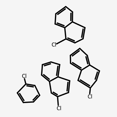 Clc1ccc2ccccc2c1.Clc1ccc2ccccc2c1.Clc1cccc2ccccc12.Clc1ccccc1